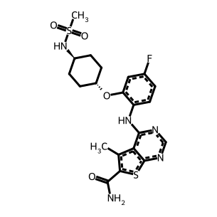 Cc1c(C(N)=O)sc2ncnc(Nc3ccc(F)cc3O[C@H]3CC[C@H](NS(C)(=O)=O)CC3)c12